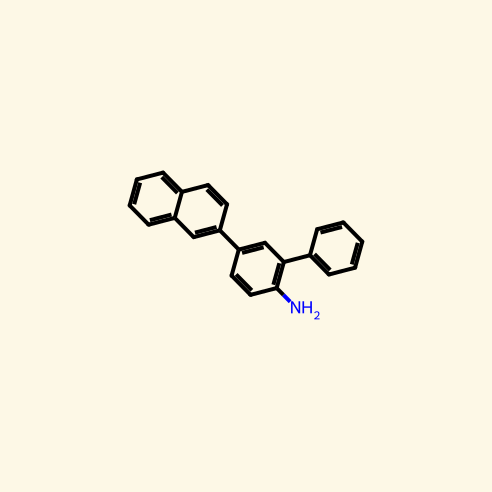 Nc1ccc(-c2ccc3ccccc3c2)cc1-c1ccccc1